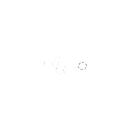 CO[C@@H]1C[C@H](OCc2ccccc2)[C@H]2COC1(C1SCCCS1)O2